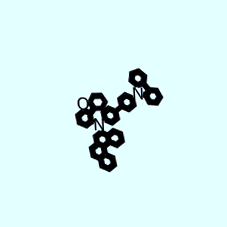 C1=Cc2oc3cccc(N(c4ccc(-c5ccc(-n6c7ccccc7c7ccccc76)cc5)cc4)c4cc5ccc6ccccc6c5c5ccccc45)c3c2CC1